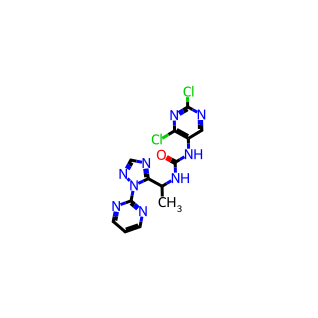 CC(NC(=O)Nc1cnc(Cl)nc1Cl)c1ncnn1-c1ncccn1